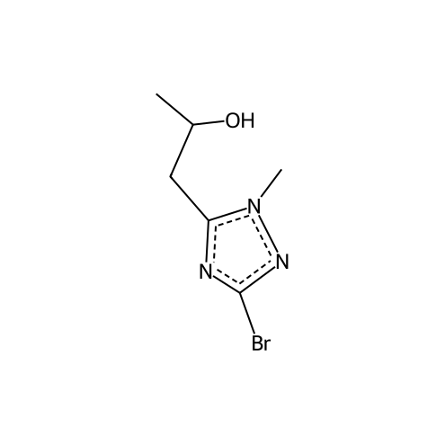 CC(O)Cc1nc(Br)nn1C